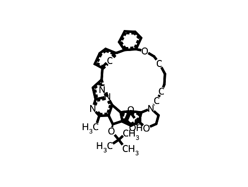 Cc1nc2cc3nn2c(c1[C@H](OC(C)(C)C)C(=O)O)-c1ccc2c(c1Cl)N(CCCCCCOc1ccccc1-c1cccc-3c1)CCO2